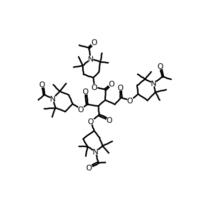 CC(=O)N1C(C)(C)CC(OC(=O)CC(C(=O)OC2CC(C)(C)N(C(C)=O)C(C)(C)C2)C(C(=O)OC2CC(C)(C)N(C(C)=O)C(C)(C)C2)C(=O)OC2CC(C)(C)N(C(C)=O)C(C)(C)C2)CC1(C)C